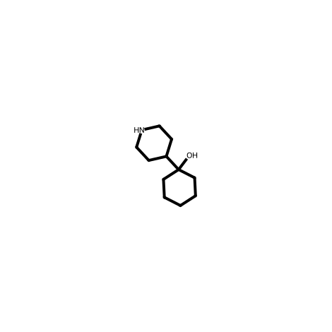 OC1(C2CCNCC2)CCCCC1